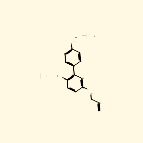 C=CCOc1ccc(C(=O)O)c(-c2ccc(OCCCCCC)cc2)c1